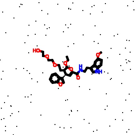 CCOC1OC(C(=O)NCCc2c[nH]c3ccc(OC)cc23)=C[C@H](c2coc3ccccc23)C1CCOCCOCCO